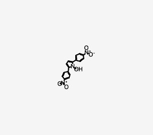 O=[N+]([O-])c1ccc(-c2ccc(-c3ccc([N+](=O)[O-])cc3)n2O)cc1